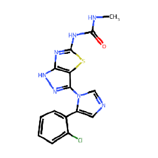 CNC(=O)Nc1nc2[nH]nc(-n3cncc3-c3ccccc3Cl)c2s1